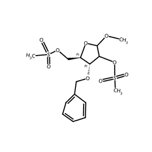 COC1O[C@H](COS(C)(=O)=O)[C@@H](OCc2ccccc2)C1OS(C)(=O)=O